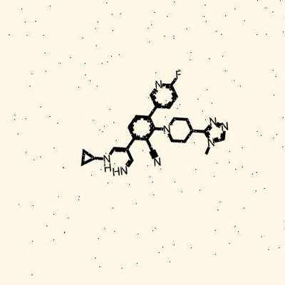 Cn1cnnc1C1CCN(c2c(-c3ccc(F)nc3)ccc(/C(C=N)=C/NC3CC3)c2C#N)CC1